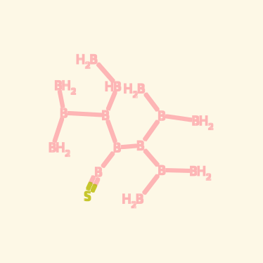 BBB(B(B)B)B(B=S)B(B(B)B)B(B)B